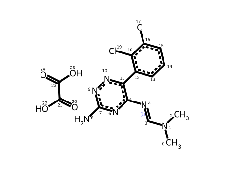 CN(C)/C=N/c1nc(N)nnc1-c1cccc(Cl)c1Cl.O=C(O)C(=O)O